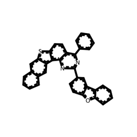 c1ccc(-c2nc(-c3ccc4oc5ccccc5c4c3)nc3c2ccc2sc4cc5ccccc5cc4c23)cc1